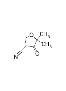 CC1(C)OCC(C#N)C1=O